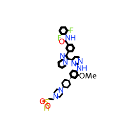 COc1cc([C@H]2CC[C@@H](N3CCN(CC[SH](=O)=O)CC3)CC2)ccc1Nc1nccc(-c2c(-c3cccc(C(=O)Nc4c(F)cccc4F)c3)nc3ccccn23)n1